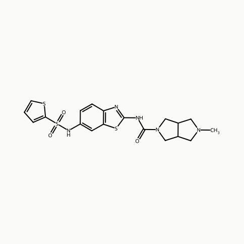 CN1CC2CN(C(=O)Nc3nc4ccc(NS(=O)(=O)c5cccs5)cc4s3)CC2C1